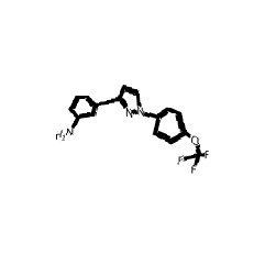 Nc1cccc(-c2ccn(-c3ccc(OC(F)(F)F)cc3)n2)c1